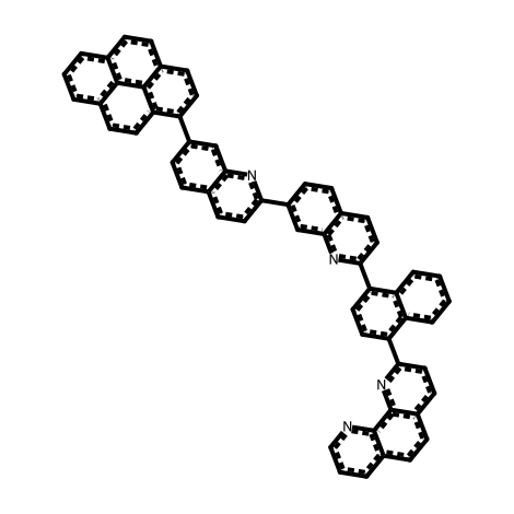 c1cnc2c(c1)ccc1ccc(-c3ccc(-c4ccc5ccc(-c6ccc7ccc(-c8ccc9ccc%10cccc%11ccc8c9c%10%11)cc7n6)cc5n4)c4ccccc34)nc12